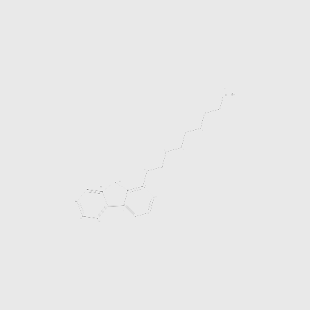 CCCCCCCCCCCCCCCCCCc1cccc2c1[nH]c1ccccc12